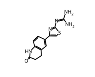 NC(N)=Nc1nc(-c2ccc3c(c2)CCC(=O)N3)cs1